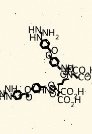 N=C(N)Nc1ccc(C(=O)Oc2ccc(CNS(=O)(=O)N(CCCCN(C(CC(=O)O)C(=O)O)S(=O)(=O)NCc3ccc(OC(=O)c4ccc(NC(=N)N)cc4)cc3)C(CC(=O)O)C(=O)O)cc2)cc1